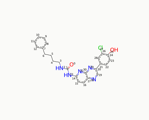 O=C(NCCCCc1ccccc1)Nc1ccc2ncc(-c3ccc(O)c(Cl)c3)nc2n1